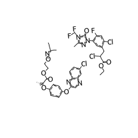 CC(C)=NOCCOC(=O)[C@@H](C)Oc1ccc(Oc2cnc3cc(Cl)ccc3n2)cc1.CCOC(=O)C(Cl)Cc1cc(-n2nc(C)n(C(F)F)c2=O)c(F)cc1Cl